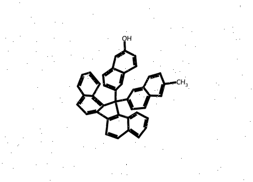 Cc1ccc2cc(C3(c4ccc5cc(O)ccc5c4)c4c(ccc5ccccc45)-c4ccc5ccccc5c43)ccc2c1